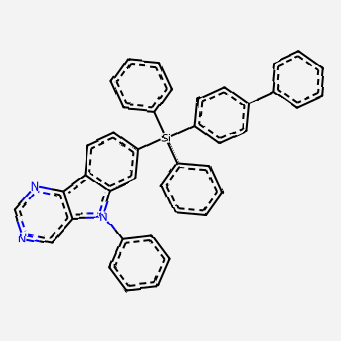 c1ccc(-c2ccc([Si](c3ccccc3)(c3ccccc3)c3ccc4c5ncncc5n(-c5ccccc5)c4c3)cc2)cc1